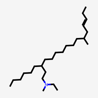 CC/C=C/CC(C)CCCCCCCC(CCCCCC)CCN(C)CC